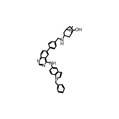 CN1C2CC(NCc3ccc(-c4ccc5ncnc(Nc6ccc7c(ccn7Cc7ccccc7)c6)c5c4)cc3)CC1C(O)C2